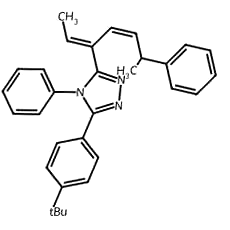 C/C=C(\C=C/C(C)c1ccccc1)c1nnc(-c2ccc(C(C)(C)C)cc2)n1-c1ccccc1